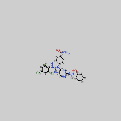 NC(=O)C1CCC(n2c(Nc3c(F)cc(Cl)cc3Cl)nc3cnc(NC[C@@H]4CCCC[C@@H]4O)nc32)CC1